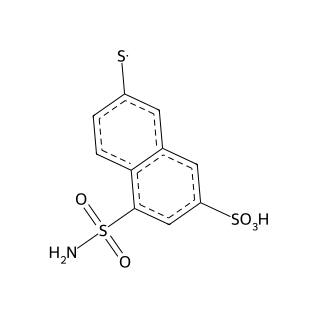 NS(=O)(=O)c1cc(S(=O)(=O)O)cc2cc([S])ccc12